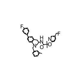 Cc1cccc(CN2CC(NC(=O)C(C)(C)Oc3ccc(CF)cn3)Cc3cc(-c4ccc(F)cc4)ccc32)c1